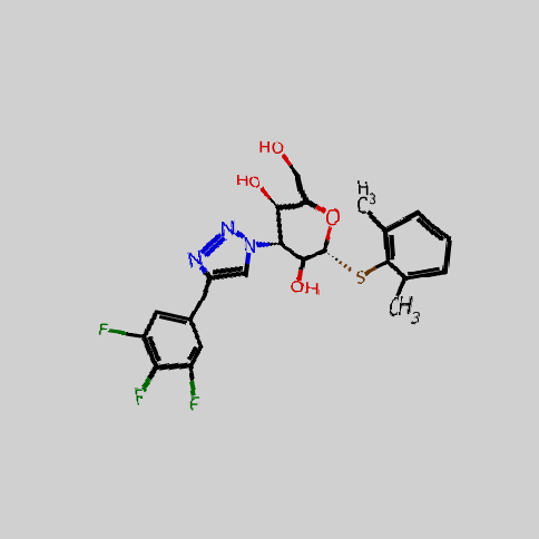 Cc1cccc(C)c1S[C@H]1OC(CO)[C@H](O)[C@H](n2cc(-c3cc(F)c(F)c(F)c3)nn2)C1O